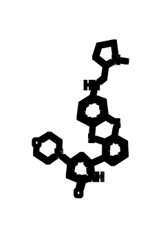 CN1CCCC1CNc1ccc2c(c1)Sc1cccc(-c3cc(N4CCOCC4)cc(=O)[nH]3)c1S2